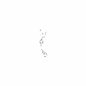 CCCN(NC(=O)c1ccc(CNC(=O)c2cc3cnccc3[nH]2)cc1)C(=O)OC(C)(C)C